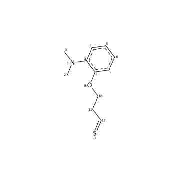 CN(C)c1ccccc1OCCC=S